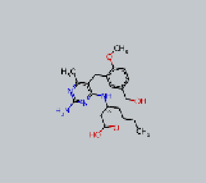 CCCC[C@@H](CC(=O)O)Nc1nc(N)nc(C)c1Cc1cc(CO)ccc1OC